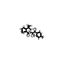 O=C(c1ccc(F)cc1)C(O)N1CC2(CC2)c2cccnc2C1=O